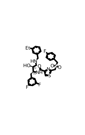 CCc1cccc(CNC[C@H](O)[C@H](Cc2cc(F)cc(F)c2)NC(=O)c2csc(CS(=O)(=O)Cc3ccc(F)cc3)n2)c1